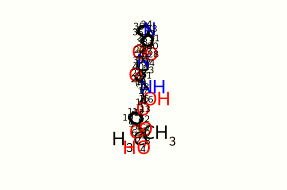 CC(C)(CO)S(=O)(=O)c1cccc(OCC(O)CN[C@H]2COC3(CCN(S(=O)(=O)c4ccc5ncccc5c4)CC3)C2)c1